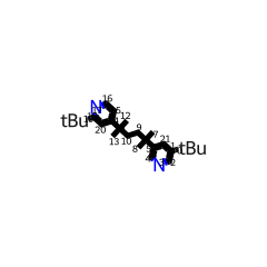 CC(C)(C)c1cncc(C(C)(C)CCC(C)(C)c2ccnc(C(C)(C)C)c2)c1